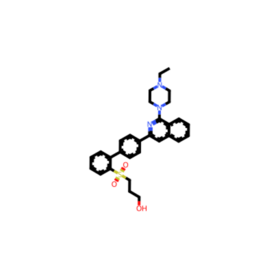 CCN1CCN(c2nc(-c3ccc(-c4ccccc4S(=O)(=O)CCCO)cc3)cc3ccccc23)CC1